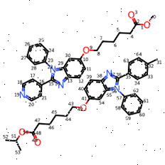 COC(=O)CCCCCOc1ccc2nc(-c3ccncc3)n(-c3ccccc3)c2c1.Cc1ccc(-c2nc3ccc(OCCCCCC(=O)OC(C)C)cc3n2-c2ccccc2)cc1